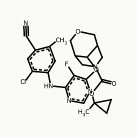 Cc1cc(Nc2ncnc(OC3C4COCC3CN(C(=O)OC3(C)CC3)C4)c2F)c(Cl)cc1C#N